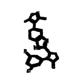 Cc1noc(C)c1-c1ccc2[nH]c(C3CCC(=O)N3c3cc(F)cc(Cl)c3)nc2c1